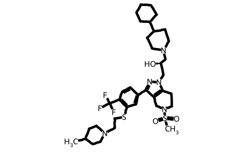 CC1CCN(CCSc2cc(-c3nn(C[C@@H](O)CN4CCC(C5CCCCC5)CC4)c4c3CN(S(C)(=O)=O)CC4)ccc2C(F)(F)F)CC1